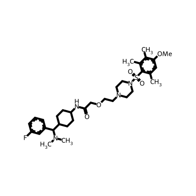 COc1cc(C)c(S(=O)(=O)N2CCN(CCOCC(=O)NC3CCC(C(c4cccc(F)c4)N(C)C)CC3)CC2)c(C)c1C